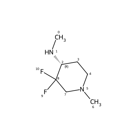 CN[C@@H]1CCN(C)CC1(F)F